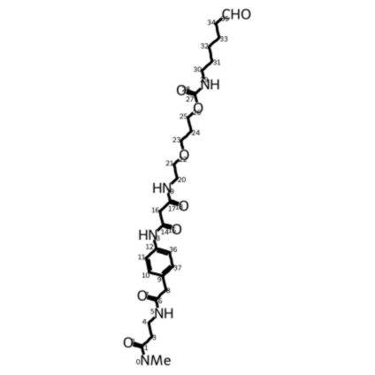 CNC(=O)CCNC(=O)Cc1ccc(NC(=O)CC(=O)NCCOCCCOC(=O)NCCCCCC=O)cc1